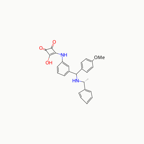 COc1ccc(C(N[C@H](C)c2ccccc2)c2cccc(Nc3c(O)c(=O)c3=O)c2)cc1